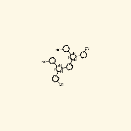 N#Cc1cccc(-c2nc(-c3cccc(C#N)c3)nc(-c3cccc(-c4nc(-c5cccc(C#N)c5)nc(-c5cccc(C#N)c5)n4)c3)n2)c1